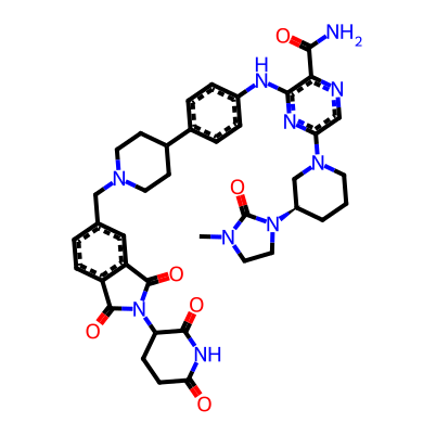 CN1CCN([C@@H]2CCCN(c3cnc(C(N)=O)c(Nc4ccc(C5CCN(Cc6ccc7c(c6)C(=O)N(C6CCC(=O)NC6=O)C7=O)CC5)cc4)n3)C2)C1=O